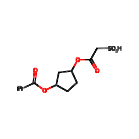 CC(C)C(=O)OC1CCC(OC(=O)CS(=O)(=O)O)C1